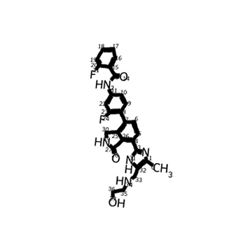 Cc1nc(-c2ccc(-c3ccc(NC(=O)c4ccccc4F)cc3F)c3c2C(=O)NC3)[nH]c1CNCCO